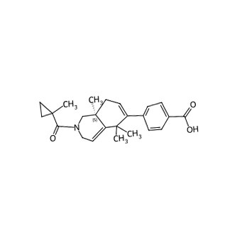 CC1(C(=O)N2CC=C3C(C)(C)C(c4ccc(C(=O)O)cc4)=CC[C@]3(C)C2)CC1